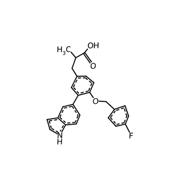 CC(Cc1ccc(OCc2ccc(F)cc2)c(-c2ccc3[nH]ccc3c2)c1)C(=O)O